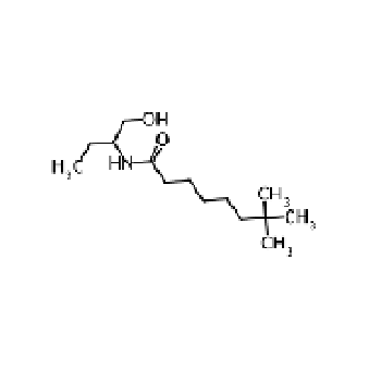 CCC(CO)NC(=O)CCCCCC(C)(C)C